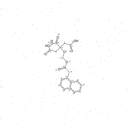 O=C(O)CC(CC(=O)O)(OCOC(=O)Cc1cccc2ccccc12)C(=O)O